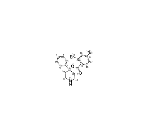 O=C(OC1(c2ccccc2)CCNCC1)c1ccc(Br)cc1Br